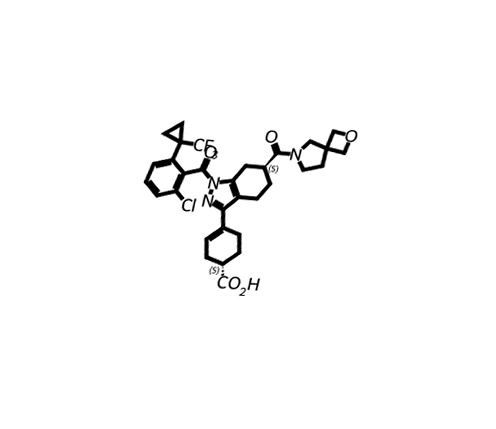 O=C(O)[C@@H]1CC=C(c2nn(C(=O)c3c(Cl)cccc3C3(C(F)(F)F)CC3)c3c2CC[C@H](C(=O)N2CCC4(COC4)C2)C3)CC1